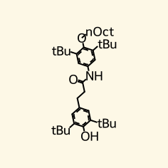 CCCCCCCCOc1c(C(C)(C)C)cc(NC(=O)CCc2cc(C(C)(C)C)c(O)c(C(C)(C)C)c2)cc1C(C)(C)C